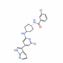 O=C(N[C@H]1CC[C@H](Nc2cc(-c3c[nH]c4ncccc34)cc(Cl)n2)CC1)c1cccc(Cl)c1